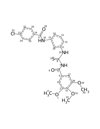 COc1cc(C(=O)NC(=S)Nc2cccc(NC(=O)c3ccc(Cl)cc3)c2)cc(OC)c1OC